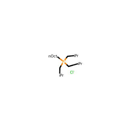 CCCCCCCC[P+](CC(C)C)(CC(C)C)CC(C)C.[Cl-]